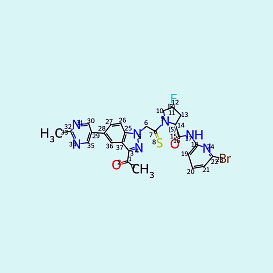 CC(=O)c1nn(CC(=S)N2C[C@H](F)C[C@H]2C(=O)Nc2cccc(Br)n2)c2ccc(-c3cnc(C)nc3)cc12